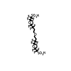 O=S(=O)(O)C(F)(F)C(F)(F)OC(F)(F)C(F)(F)CCOCCC(F)(F)C(F)(F)OC(F)(F)C(F)(F)S(=O)(=O)O